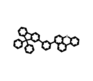 c1ccc(C2(c3ccccc3)c3ccccc3-c3ccc(-c4cccc(-c5ccc6c7c(cccc57)-c5ccccc5S6)c4)cc32)cc1